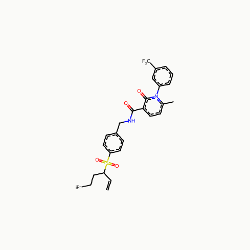 C=CC(CCC(C)C)S(=O)(=O)c1ccc(CNC(=O)c2ccc(C)n(-c3cccc(C(F)(F)F)c3)c2=O)cc1